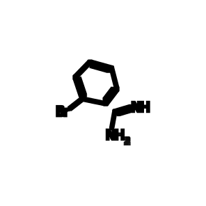 Brc1ccccc1.N=CN